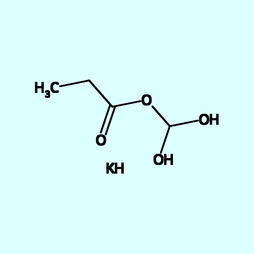 CCC(=O)OC(O)O.[KH]